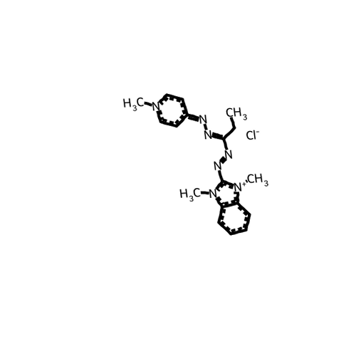 CCC(N=Nc1n(C)c2ccccc2[n+]1C)=NN=c1ccn(C)cc1.[Cl-]